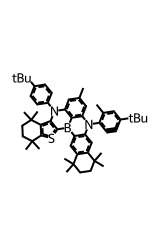 Cc1cc2c3c(c1)N(c1ccc(C(C)(C)C)cc1)c1c(sc4c1C(C)(C)CCC4(C)C)B3c1cc3c(cc1N2c1c#cc(C(C)(C)C)cc1C)C(C)(C)CCC3(C)C